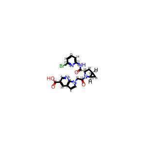 O=C(O)c1cnc2c(ccn2CC(=O)N2[C@@H]3C[C@@H]3C[C@H]2C(=O)Nc2cccc(Br)n2)c1